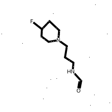 O=CNCCCN1CCC(F)CC1